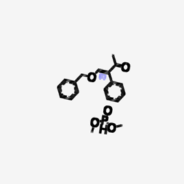 CC(=O)/C(=C/OCc1ccccc1)c1ccccc1.CO[PH](=O)OC